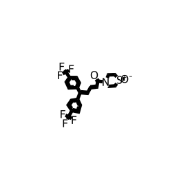 O=C(C=CC=C(c1ccc(C(F)(F)F)cc1)c1ccc(C(F)(F)F)cc1)N1CC[S+]([O-])CC1